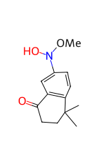 CON(O)c1ccc2c(c1)C(=O)CCC2(C)C